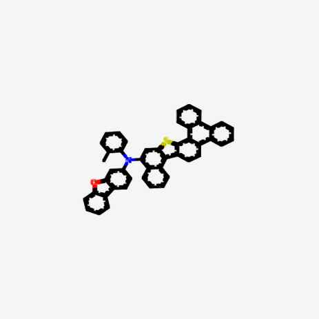 Cc1ccccc1N(c1ccc2c(c1)oc1ccccc12)c1cc2sc3c(ccc4c5ccccc5c5ccccc5c43)c2c2ccccc12